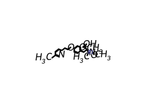 CCc1ccc(CCOc2ccc(CC(C)(C(=O)O)/C(C)=N/OC)cc2)nc1